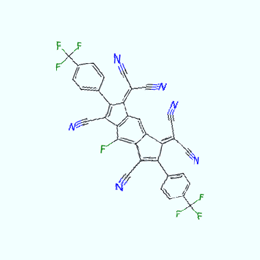 N#CC(C#N)=C1C(c2ccc(C(F)(F)F)cc2)=C(C#N)c2c1cc1c(c2F)C(C#N)=C(c2ccc(C(F)(F)F)cc2)C1=C(C#N)C#N